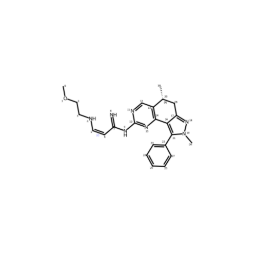 COCCN/C=C\C(=N)Nc1ncc2c(n1)-c1c(nn(C)c1-c1ccccc1)C[C@H]2C